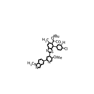 COc1cnc(-c2ccc3c(cnn3C)c2)cc1-c1nc2cc(C)c([C@H](OC(C)(C)C)C(=O)O)c(-c3ccc(Cl)cc3)c2s1